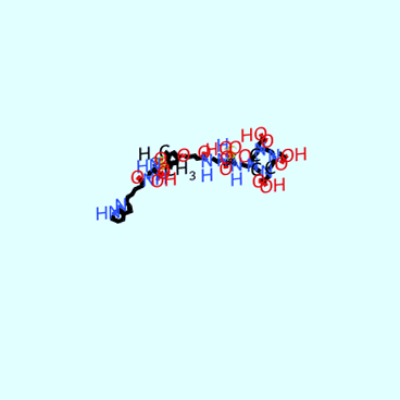 Cc1cc(OCCCC(=O)NCCNC(=O)[C@H](CS(=O)(=O)O)NC(=O)CN2CCN(CC(=O)O)CCN(CC(=O)O)CCN(CC(=O)O)CC2)cc(C)c1S(=O)(=O)NC(CNC(=O)CCCCc1ccc2c(n1)NCCC2)C(=O)O